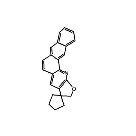 c1ccc2cc3c(ccc4cc5c(nc43)OCC53CCCC3)cc2c1